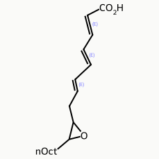 CCCCCCCCC1OC1C/C=C/C=C/C=C/C(=O)O